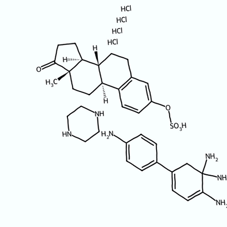 C1CNCCN1.C[C@]12CC[C@@H]3c4ccc(OS(=O)(=O)O)cc4CC[C@H]3[C@@H]1CCC2=O.Cl.Cl.Cl.Cl.NC1=CC=C(c2ccc(N)cc2)CC1(N)N